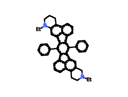 CCN1CCc2c(cc3c4c(-c5ccccc5)c5c6cccc7c8c(cc(c5c(-c5ccccc5)c4c4cccc2c34)c76)N(CC)CCC8)C1